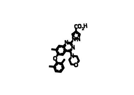 Cc1cc2nc(-n3cc(C(=O)O)cn3)nc(N3CCOCC3)c2cc1Oc1c(C)cccc1C